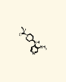 COC(=O)N1CCC(Nc2ccncc2N)CC1